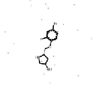 CC(C)c1ccc(OC[C@@H]2C[C@@H](O)CN2)c(F)c1